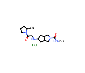 CCCNC(=O)N1CC2CC(NCC(=O)N3CCCC3C#N)CC2C1.Cl